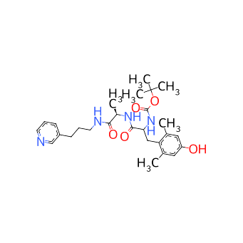 Cc1cc(O)cc(C)c1CC(NC(=O)OC(C)(C)C)C(=O)N[C@H](C)C(=O)NCCCc1cccnc1